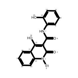 CCn1c(=O)c(C(=O)Nc2ccccc2O)c(O)c2ccccc21